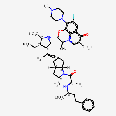 C=C(C)[C@H]1CN[C@H](C(=O)O)[C@H]1CC(=O)O.CC1COc2c(N3CCN(C)CC3)c(F)cc3c(=O)c(C(=O)O)cn1c23.CCOC(=O)[C@H](CCc1ccccc1)N[C@@H](C)C(=O)N1[C@H](C(=O)O)C[C@@H]2CCC[C@@H]21